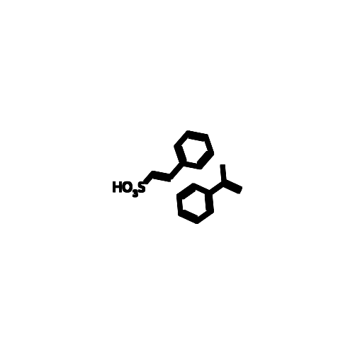 C=C(C)c1ccccc1.O=S(=O)(O)C=Cc1ccccc1